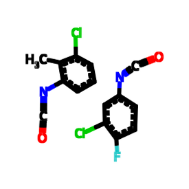 Cc1c(Cl)cccc1N=C=O.O=C=Nc1ccc(F)c(Cl)c1